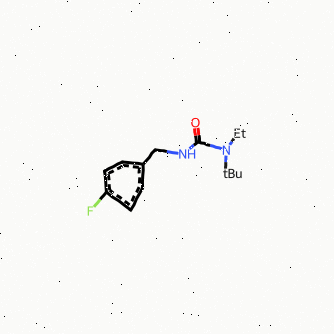 CCN(C(=O)NCc1ccc(F)cc1)C(C)(C)C